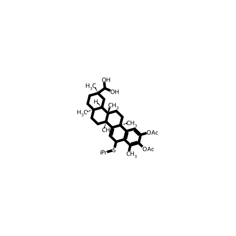 CC(=O)Oc1cc2c(c(C)c1OC(C)=O)C(SC(C)C)C=C1[C@@]2(C)CC[C@@]2(C)[C@@H]3C[C@](C)(C(O)O)CC[C@]3(C)CC[C@]12C